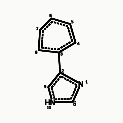 [c]1nc(-c2ccccc2)c[nH]1